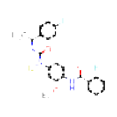 CCOc1cc(N(S)C(=O)NC(C)c2ccc(F)cc2)ccc1NC(=O)c1ccccc1F